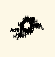 CC(=O)N[C@@H](CCCNC(=N)N)C(=O)N[C@H]1CCC(=O)NCCCC(C(N)=O)NC(=O)[C@H](Cc2c[nH]c3ccccc23)NC(=O)[C@H](CCCNC(=N)N)NC(=O)C(Cc2ccccc2)NC(=O)[C@@H]2CC(O)CN2C1=O